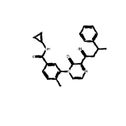 Cc1ccc(C(=O)NC2CC2)cc1-n1ccnc(C(=N)CC(C)c2ccccc2)c1=O